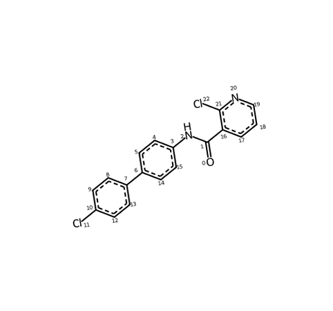 O=C(Nc1ccc(-c2ccc(Cl)cc2)cc1)c1cccnc1Cl